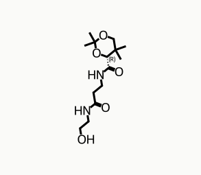 CC1(C)OCC(C)(C)[C@H](C(=O)NCCC(=O)NCCO)O1